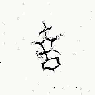 CCC1(c2ccccc2)C(=O)N([Si](C)(C)C)C(=O)N1C